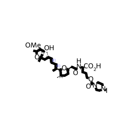 CO[C@H](C(C)OC(C)(C)C[C@H](C)/C=C/C=C(\C)[C@H]1O[C@@H](CC(=O)N[C@H](CCCOC(=O)N2CCN(I)CC2)C(=O)O)CC[C@@H]1C)[C@@H](C)O